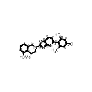 COc1cccc2c1CCN(c1nc3nc(-c4c(C)cc(Cl)cc4O)ccc3o1)C2